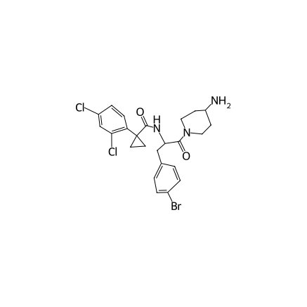 NC1CCN(C(=O)C(Cc2ccc(Br)cc2)NC(=O)C2(c3ccc(Cl)cc3Cl)CC2)CC1